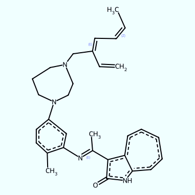 C=C/C(=C\C=C/C)CN1CCCN(c2ccc(C)c(/N=C(\C)c3c4cccccc-4[nH]c3=O)c2)CC1